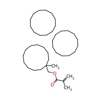 C1CCCCCCCCCCC1.C1CCCCCCCCCCC1.C=C(C)C(=O)OCC1(C)CCCCCCCCCCC1